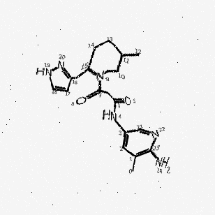 Cc1cc(NC(=O)C(=O)N2CC(C)CCC2c2cc[nH]n2)cnc1N